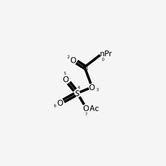 CCCC(=O)OS(=O)(=O)OC(C)=O